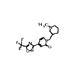 CN1CCCC(Cn2ccc(-c3noc(C(F)(F)F)n3)cc2=O)C1